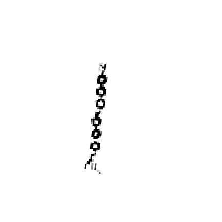 CCCCC[C@H]1CC[C@H](c2ccc(-c3ccc(C=C[C@H]4CC[C@H](c5ccc(-c6ccc(C#N)cc6)cc5)CC4)cc3)cc2)CC1